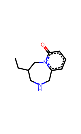 CCC1CNCc2cccc(=O)n2C1